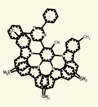 Cc1ccc2c(c1)c1cc(C)ccc1n2-c1c(C#N)c(-c2cc(-c3ccccc3)nc(-c3ccccc3)n2)c(-n2c3ccc(C)cc3c3cc(C)ccc32)c(-n2c3ccc(C)cc3c3cc(C)ccc32)c1-n1c2ccc(C)cc2c2cc(C)ccc21